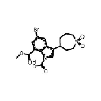 COC(=O)c1cc(Br)cc2c(C3CCCS(=O)(=O)CC3)cn(C(=O)O)c12